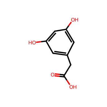 O=C(O)Cc1cc(O)cc(O)c1